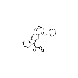 COc1cc2c3cnccc3n(C(=O)OCl)c2cc1OCc1ccccc1